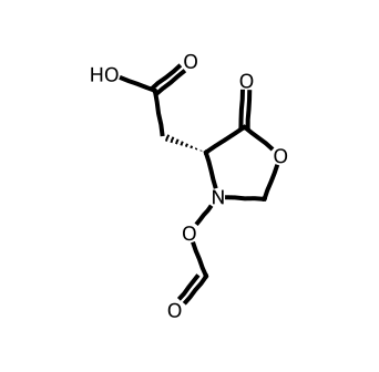 O=CON1COC(=O)[C@H]1CC(=O)O